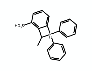 CC1c2c(cccc2S(=O)(=O)O)[PH]1(c1ccccc1)c1ccccc1